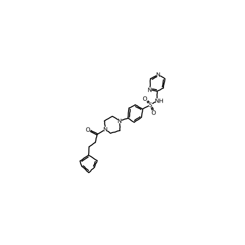 O=C(CCc1ccccc1)N1CCN(c2ccc(S(=O)(=O)Nc3ccncn3)cc2)CC1